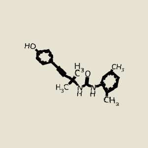 Cc1ccc(C)c(NC(=O)NC(C)(C)C#Cc2ccc(O)cc2)c1